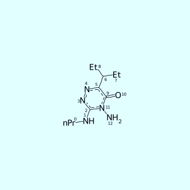 CCCNc1nnc(C(CC)CC)c(=O)n1N